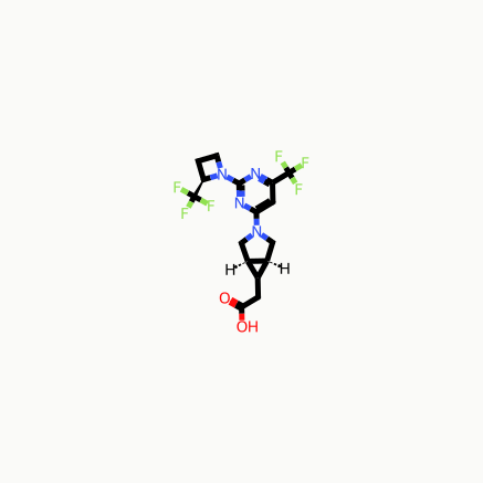 O=C(O)CC1[C@H]2CN(c3cc(C(F)(F)F)nc(N4CC[C@@H]4C(F)(F)F)n3)C[C@@H]12